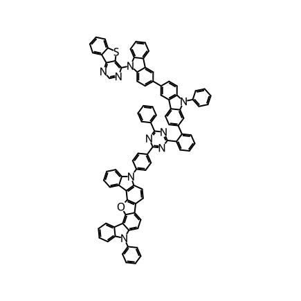 c1ccc(-c2nc(-c3ccc(-n4c5ccccc5c5c6oc7c(ccc8c7c7ccccc7n8-c7ccccc7)c6ccc54)cc3)nc(-c3ccccc3-c3ccc4c5cc(-c6ccc7c(c6)c6ccccc6n7-c6ncnc7c6sc6ccccc67)ccc5n(-c5ccccc5)c4c3)n2)cc1